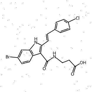 O=C(O)CCNC(=O)c1c(/C=C/c2ccc(Cl)cc2)[nH]c2cc(Br)ccc12